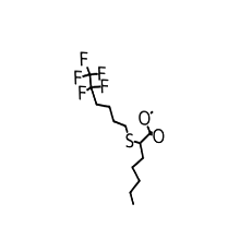 CCCCCC(SCCCCC(F)(F)C(F)(F)F)C(=O)OC